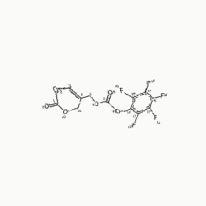 O=C1OC=C(COC(=O)Oc2c(F)c(F)c(F)c(F)c2F)CO1